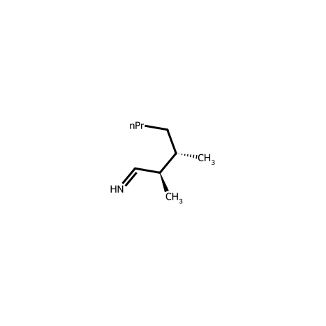 CCCC[C@H](C)[C@@H](C)C=N